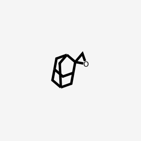 C1C2CC3CC1CC(C2)C31CO1